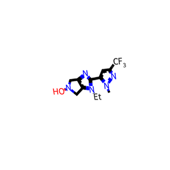 CCn1c(-c2cc(C(F)(F)F)nn2C)nc2c1CN(O)C2